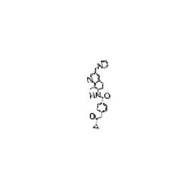 Cc1c(NC(=O)c2ccc(CC(=O)C3CC3)cc2)ccc2cc(Cn3cccc3)cnc12